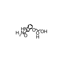 NC(=O)c1cc2c(OCC(O)CO)cccc2[nH]1